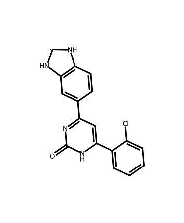 O=c1nc(-c2ccc3c(c2)N[CH]N3)cc(-c2ccccc2Cl)[nH]1